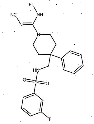 CCN/C(=N\C#N)N1CCC(CNS(=O)(=O)c2cccc(F)c2)(c2ccccc2)CC1